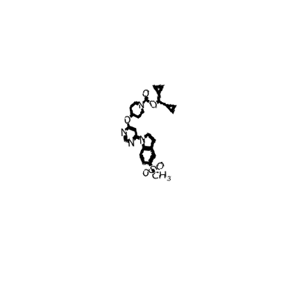 CS(=O)(=O)c1ccc2c(c1)CCN2c1cc(OC2CCN(C(=O)OC(C3CC3)C3CC3)CC2)ncn1